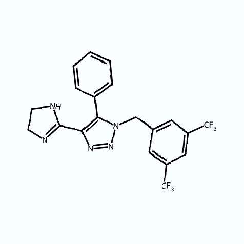 FC(F)(F)c1cc(Cn2nnc(C3=NCCN3)c2-c2ccccc2)cc(C(F)(F)F)c1